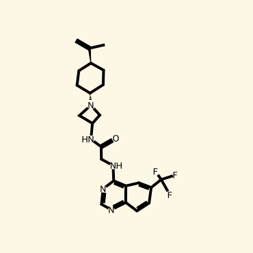 C=C(C)[C@H]1CC[C@H](N2CC(NC(=O)CNc3ncnc4ccc(C(F)(F)F)cc34)C2)CC1